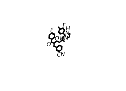 Cc1ccc(C2(CC(C)Cc3oc4cc(F)ccc4c(=O)c3Cc3cccc(C#N)c3)NCCN2)cc1F